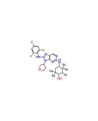 [2H]C1C(O)C([2H])([2H])CC(Nc2ncc3nc(Nc4c(F)cc(F)cc4F)n(C4CCOC4)c3n2)C1([2H])[2H]